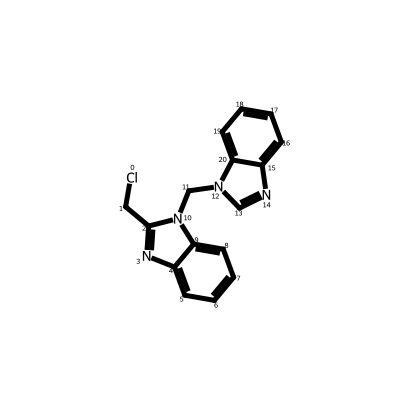 ClCc1nc2ccccc2n1Cn1cnc2ccccc21